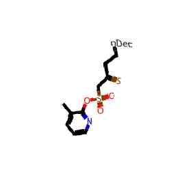 CCCCCCCCCCCCC(=S)CS(=O)(=O)Oc1ncccc1C